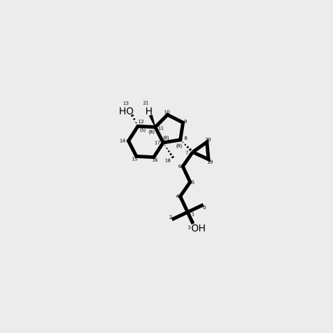 CC(C)(O)CCCC1([C@H]2CC[C@H]3[C@@H](O)CCC[C@]23C)CC1